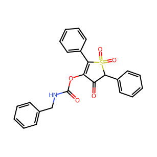 O=C(NCc1ccccc1)OC1=C(c2ccccc2)S(=O)(=O)C(c2ccccc2)C1=O